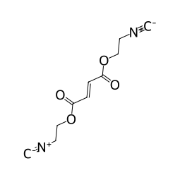 [C-]#[N+]CCOC(=O)C=CC(=O)OCC[N+]#[C-]